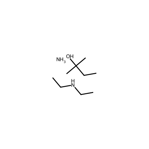 CCC(C)(C)O.CCNCC.N